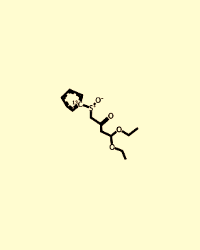 CCOC(CC(=O)C[S+]([O-])[13c]1ccccc1)OCC